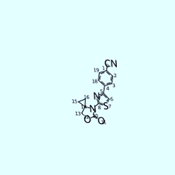 N#Cc1ccc(-c2csc(N3C(=O)OCC34CC4)n2)cc1